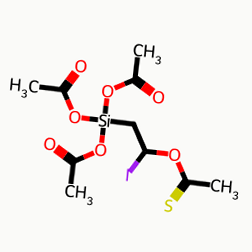 CC(=O)O[Si](CC(I)OC(C)=S)(OC(C)=O)OC(C)=O